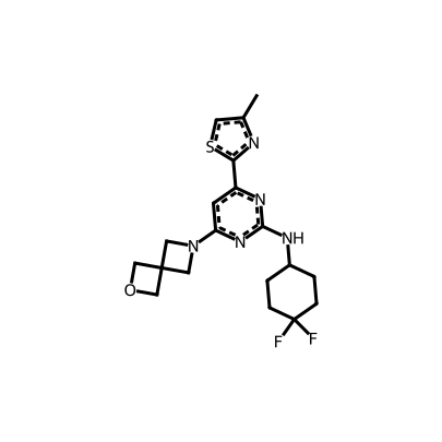 Cc1csc(-c2cc(N3CC4(COC4)C3)nc(NC3CCC(F)(F)CC3)n2)n1